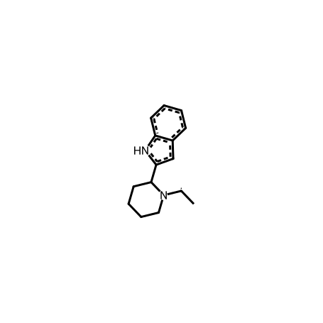 C[CH]N1CCCCC1c1cc2ccccc2[nH]1